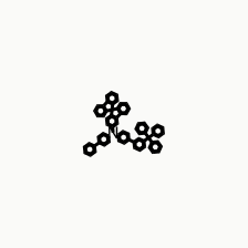 c1ccc(-c2ccc(N(c3ccc(-c4cccc(C(c5ccccc5)(c5ccccc5)c5ccccc5)c4)cc3)c3ccc4c(c3)-c3ccccc3C43c4ccccc4-c4ccccc43)cc2)cc1